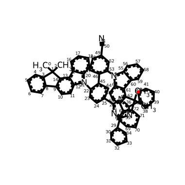 CC1(C)c2ccccc2-c2ccc3c(c21)c1ccccc1n3-c1ccc(-c2nc(-c3ccccc3)nc(-c3ccccc3)n2)cc1-c1ccc(C#N)cc1-n1c2ccccc2c2c3c(ccc21)-c1ccccc1C3(C)C